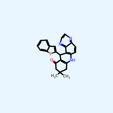 CC1(C)CC(=O)C2=C(C1)Nc1ccc3nccnc3c1C2c1cc2ccccc2s1